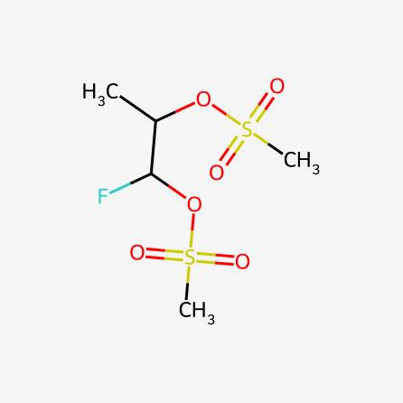 CC(OS(C)(=O)=O)C(F)OS(C)(=O)=O